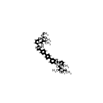 COC(=O)NC(C(=O)N1C(C)CC[C@H]1c1nc2cc(-c3ccc(-c4ccc(-c5cnc([C@@H]6CC[C@H](C)N6C(=O)[C@@H](NC(=O)OC)C(C)C)[nH]5)cc4)cc3)ccc2[nH]1)C(C)C